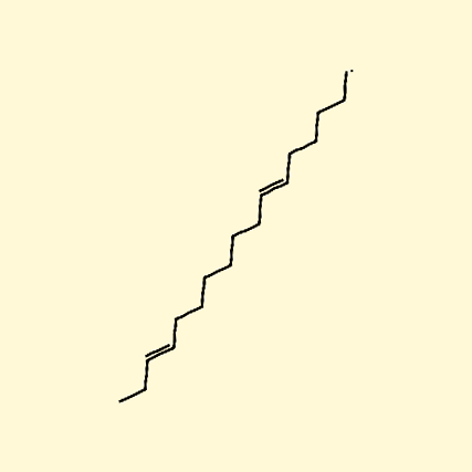 [CH2]CCCC/C=C/CCCCCC/C=C/CC